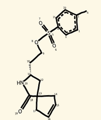 Cc1ccc(S(=O)(=O)OCC[C@@H]2CC3(CC=CC3)C(=O)N2)cc1